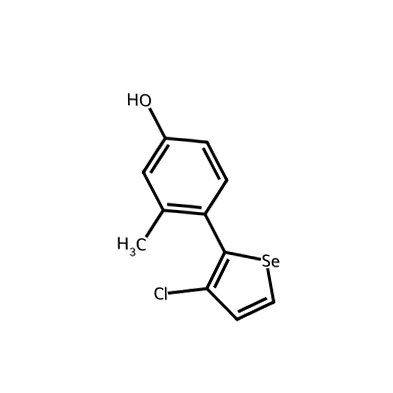 Cc1cc(O)ccc1-c1[se]ccc1Cl